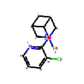 CC(C)N1CC2CC(C1)C2Nc1ncccc1Cl